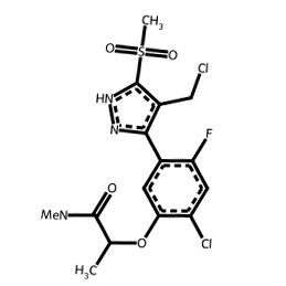 CNC(=O)C(C)Oc1cc(-c2n[nH]c(S(C)(=O)=O)c2CCl)c(F)cc1Cl